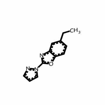 CCc1ccc2oc(-n3cccn3)nc2c1